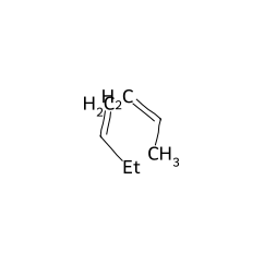 C=CC.C=CCC